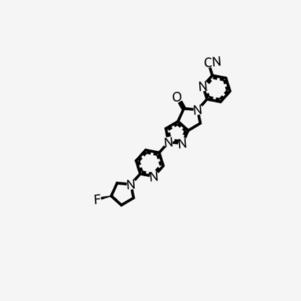 N#Cc1cccc(N2Cc3nn(-c4ccc(N5CC[C@@H](F)C5)nc4)cc3C2=O)n1